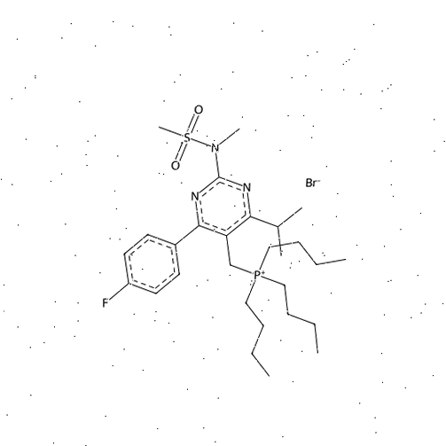 CCCC[P+](CCCC)(CCCC)Cc1c(-c2ccc(F)cc2)nc(N(C)S(C)(=O)=O)nc1C(C)C.[Br-]